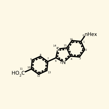 CCCCCCc1ccc2nc(-c3ccc(C(=O)O)cc3)sc2c1